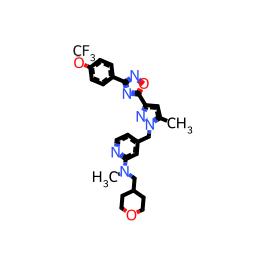 Cc1cc(-c2nc(-c3ccc(OC(F)(F)F)cc3)no2)nn1Cc1ccnc(N(C)CC2CCOCC2)c1